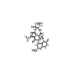 C#Cc1c(F)ccc2cc(O)cc(-c3nc(C(C)=O)c4c(C5[C@H]6CNC[C@@H]56)nn(C5CC5)c4c3F)c12